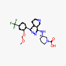 COCOc1cc(C(F)(F)F)ccc1-c1nnc(N[C@@H]2CCCN(C(=O)O)C2)c2cnccc12